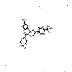 O=C(C1CCS(=O)(=O)CC1)N1CCN(c2cnc(C(F)(F)F)cn2)CC1c1ccc(Cl)s1